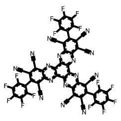 N#Cc1c(-c2c(F)c(F)c(F)c(F)c2F)c(C#N)c2nc3c4nc5c(C#N)c(C#N)c(-c6c(F)c(F)c(F)c(F)c6F)c(C#N)c5nc4c4nc5c(C#N)c(C#N)c(-c6c(F)c(F)c(F)c(F)c6F)c(C#N)c5nc4c3nc2c1C#N